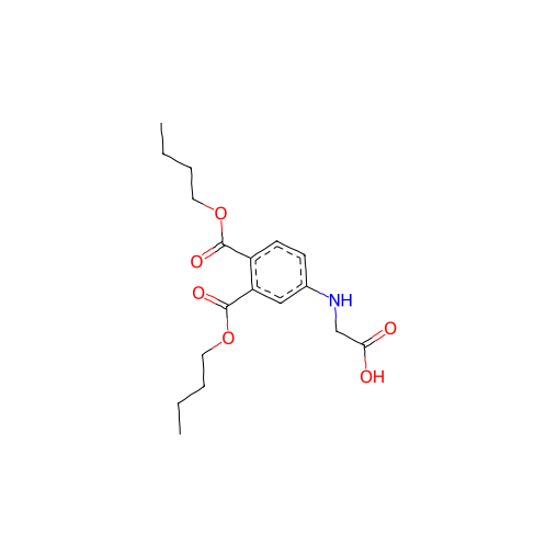 CCCCOC(=O)c1ccc(NCC(=O)O)cc1C(=O)OCCCC